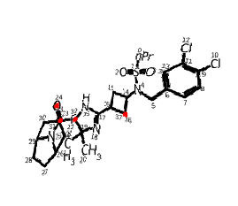 CCCS(=O)(=O)N(Cc1ccc(Cl)c(Cl)c1)C12CC(C3=NC(C)(C)[C@H](C(=O)N4C5CCC4CC(F)(F)C5)N3)(C1)C2